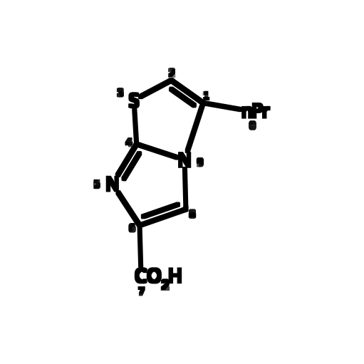 CCCc1csc2nc(C(=O)O)cn12